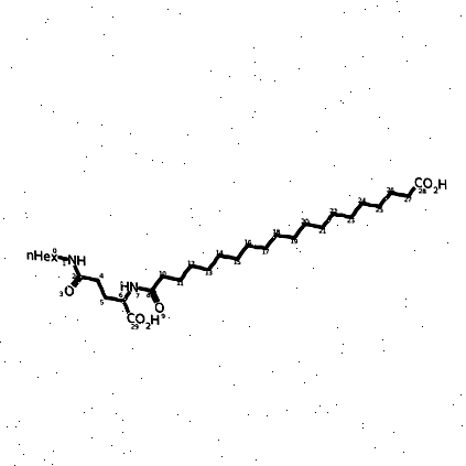 CCCCCCNC(=O)CCC(NC(=O)CCCCCCCCCCCCCCCCCCC(=O)O)C(=O)O